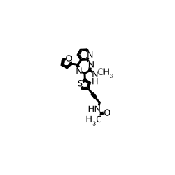 CNC1=Nc2ncccc2C(c2ccco2)=NC1c1cc(C#CCNC(C)=O)cs1